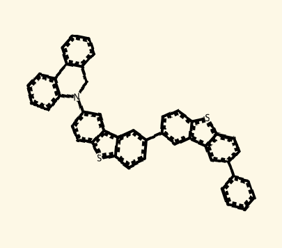 c1ccc(-c2ccc3sc4ccc(-c5ccc6sc7ccc(N8Cc9ccccc9-c9ccccc98)cc7c6c5)cc4c3c2)cc1